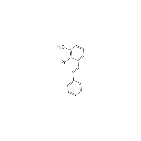 Cc1cccc(C=Cc2ccccc2)c1C(C)C